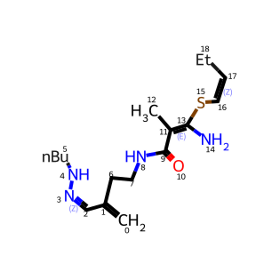 C=C(/C=N\NCCCC)CCNC(=O)/C(C)=C(\N)S/C=C\CC